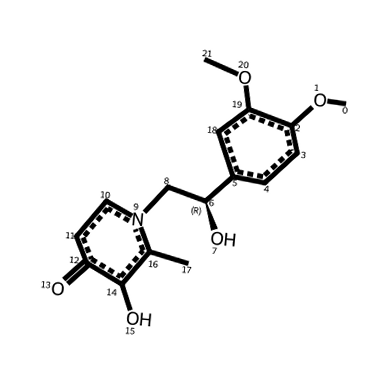 COc1ccc([C@@H](O)Cn2ccc(=O)c(O)c2C)cc1OC